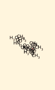 C=C[C@]1(C)C[C@@H](OC(=O)NC(=O)O[C@H]2C[C@H](NC(=O)OC(C)(C)C)C2)[C@]2(C)[C@H](C)CC[C@]3(CC[C@@H](OC)[C@@H]32)[C@@H](C)C1=O